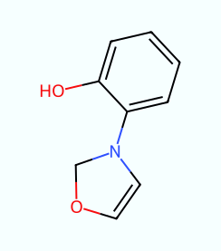 Oc1ccccc1N1C=COC1